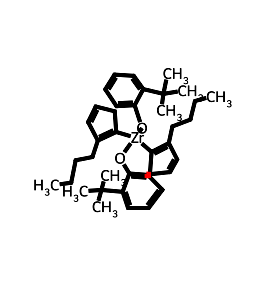 CCCCC1=[C]([Zr]([O]c2ccccc2C(C)(C)C)([O]c2ccccc2C(C)(C)C)[C]2=C(CCCC)C=CC2)CC=C1